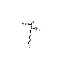 COC(=O)C(C)CCCCCBr